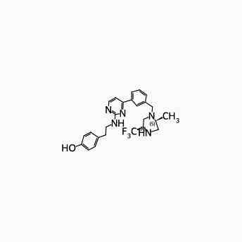 C[C@H]1CN[C@@H](C(F)(F)F)CN1Cc1cccc(-c2ccnc(NCCc3ccc(O)cc3)n2)c1